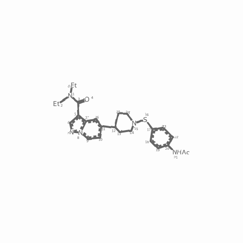 CCN(CC)C(=O)c1cnn2ccc(C3CCN(Sc4ccc(NC(C)=O)cc4)CC3)cc12